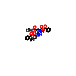 CC(C)C[C@H](NC(=O)N[C@@H](CCC(=O)OC(C)(C)C)C(=O)OC(=O)c1ccccc1)C(=O)OC(=O)c1ccccc1